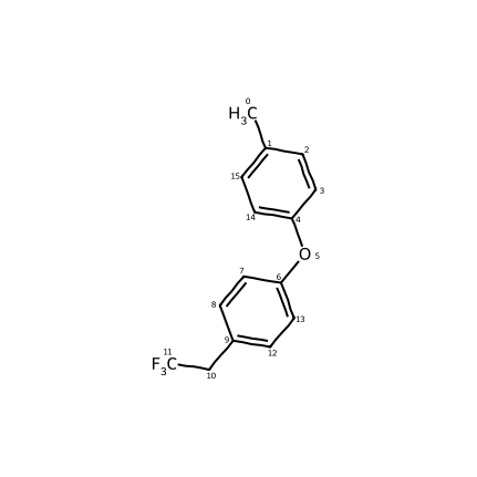 Cc1ccc(Oc2ccc(CC(F)(F)F)cc2)cc1